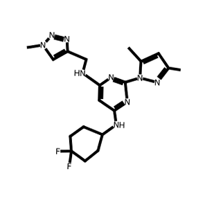 Cc1cc(C)n(-c2nc(NCc3cn(C)nn3)cc(NC3CCC(F)(F)CC3)n2)n1